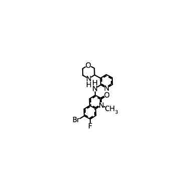 Cn1c(=O)c(Nc2ncccc2C2COCCN2)cc2cc(Br)c(F)cc21